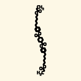 C=CC(=O)OCCCCCCc1ccc(OC(=O)C2CCC(C(=O)Oc3ccc(CCCCCCOC(=O)C=C)cc3)CC2)cc1